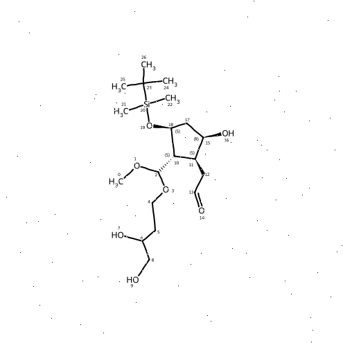 COC(OCCC(O)CO)[C@H]1[C@H](CC=O)[C@H](O)C[C@@H]1O[Si](C)(C)C(C)(C)C